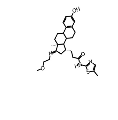 COCC/N=C1\C[C@@H](CCC(=O)Nc2ncc(C)s2)C2C3CCc4cc(O)ccc4C3CC[C@]12C